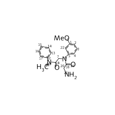 COc1cccc(N(CC(=O)N(C)c2ccccc2)C(=O)CN)c1